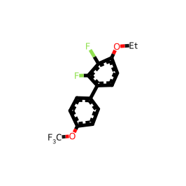 CCOc1ccc(-c2ccc(OC(F)(F)F)cc2)c(F)c1F